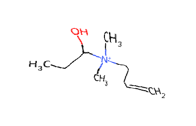 C=CC[N+](C)(C)C(O)CC